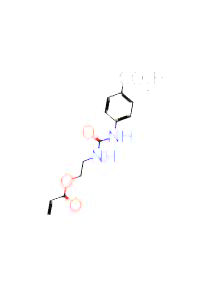 C=CC(=O)OCCNC(=O)Nc1ccc(C(=O)O)cc1